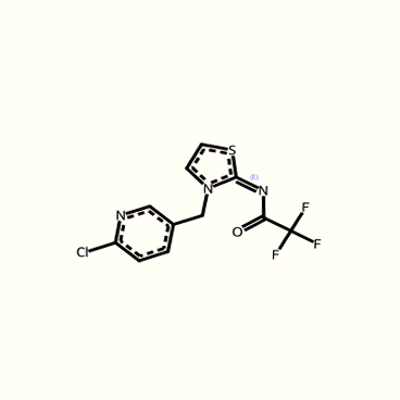 O=C(/N=c1/sccn1Cc1ccc(Cl)nc1)C(F)(F)F